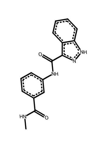 CNC(=O)c1cccc(NC(=O)c2n[nH]c3ccccc23)c1